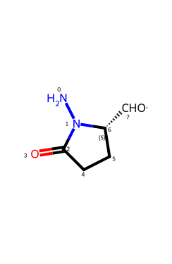 NN1C(=O)CC[C@H]1[C]=O